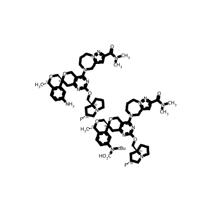 C[C@@H]1OC[C@@]2(Cc3nc(OC[C@@]45CCCN4C[C@H](F)C5)nc(N4CCCn5nc(C(=O)N(C)C)cc5C4)c3CO2)c2cc(N(C(=O)O)C(C)(C)C)ccc21.C[C@@H]1OC[C@@]2(Cc3nc(OC[C@@]45CCCN4C[C@H](F)C5)nc(N4CCCn5nc(C(=O)N(C)C)cc5C4)c3CO2)c2cc(N)ccc21